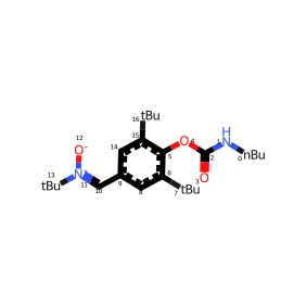 CCCCNC(=O)Oc1c(C(C)(C)C)cc(C=[N+]([O-])C(C)(C)C)cc1C(C)(C)C